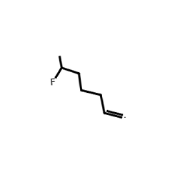 [CH]=CCCCC(C)F